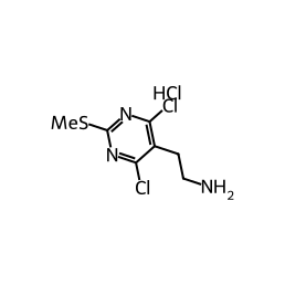 CSc1nc(Cl)c(CCN)c(Cl)n1.Cl